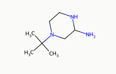 CC(C)(C)N1CCNC(N)C1